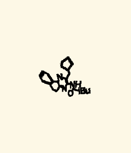 CCC(C)C(=O)Nc1nc2c(nc1CC1CCCC1)-c1ccccc1CC2